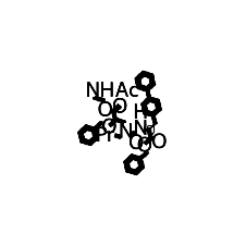 CC(=O)NCCOC(=O)C(CN(CC(C)C)C(=O)N[C@@H](Cc1ccc(-c2ccccc2)cc1)C(=O)OCc1ccccc1)OCc1ccccc1